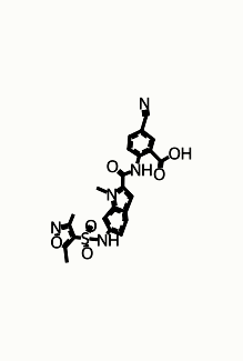 Cc1noc(C)c1S(=O)(=O)Nc1ccc2cc(C(=O)Nc3ccc(C#N)cc3C(=O)O)n(C)c2c1